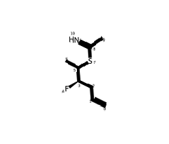 C=CC[C@@H](F)C(C)SC(C)=N